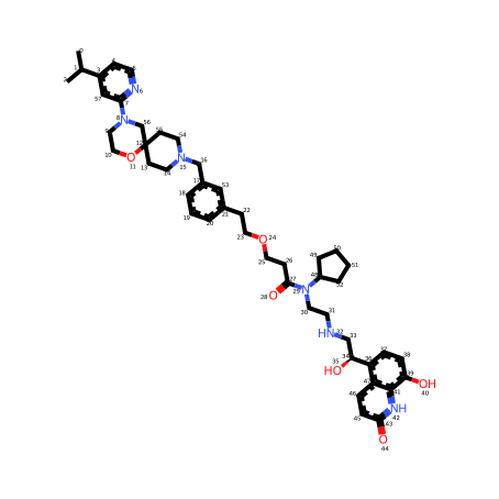 CC(C)c1ccnc(N2CCOC3(CCN(Cc4cccc(CCOCCC(=O)N(CCNC[C@H](O)c5ccc(O)c6[nH]c(=O)ccc56)C5CCCC5)c4)CC3)C2)c1